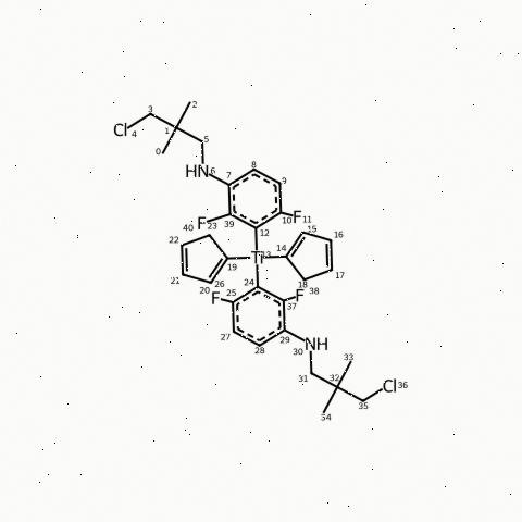 CC(C)(CCl)CNc1ccc(F)[c]([Ti]([C]2=CC=CC2)([C]2=CC=CC2)[c]2c(F)ccc(NCC(C)(C)CCl)c2F)c1F